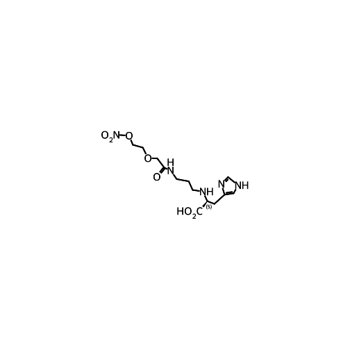 O=C(COCCO[N+](=O)[O-])NCCCN[C@@H](Cc1c[nH]cn1)C(=O)O